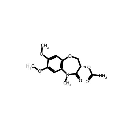 COc1cc2c(cc1OC)N(C)C(=O)[C@@H](OC(N)=O)CO2